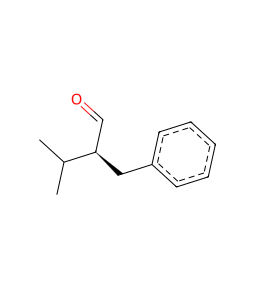 CC(C)[C@@H](C=O)Cc1ccccc1